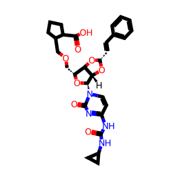 O=C(Nc1ccn([C@@H]2O[C@H](COCC3CCCC3C(=O)O)C3O[C@H](/C=C/c4ccccc4)O[C@@H]32)c(=O)n1)NC1CC1